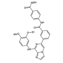 CCOc1cc(Nc2nc(-c3cccc(C(=O)Nc4ccc(C(=O)NC)cc4)c3)cn3ccnc23)ccc1OC